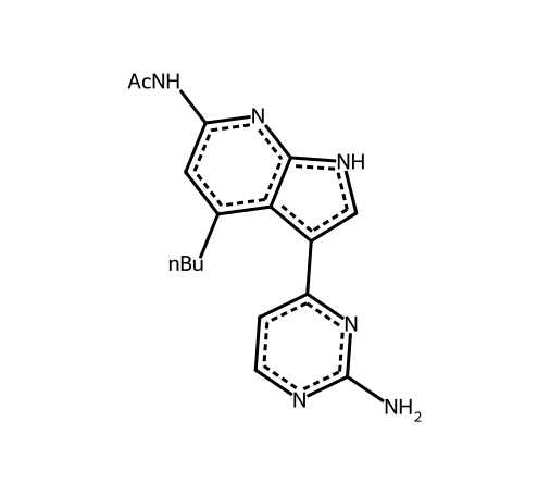 CCCCc1cc(NC(C)=O)nc2[nH]cc(-c3ccnc(N)n3)c12